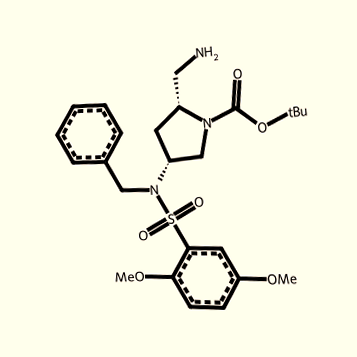 COc1ccc(OC)c(S(=O)(=O)N(Cc2ccccc2)[C@@H]2C[C@H](CN)N(C(=O)OC(C)(C)C)C2)c1